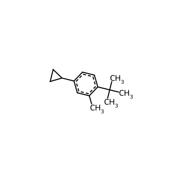 Cc1cc(C2CC2)ccc1C(C)(C)C